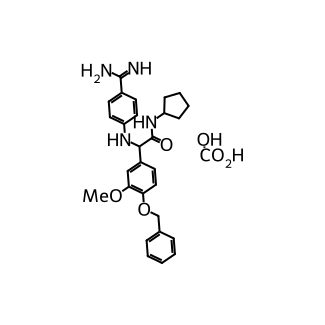 COc1cc(C(Nc2ccc(C(=N)N)cc2)C(=O)NC2CCCC2)ccc1OCc1ccccc1.O=C(O)O